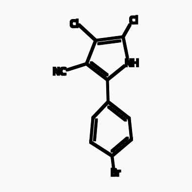 N#Cc1c(-c2ccc(Br)cc2)[nH]c(Cl)c1Cl